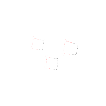 C1COO1.C1COO1.C1COO1